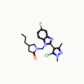 CCCC1CC(=O)N(Cn2c(-c3c(C)nn(C)c3Cl)nc3cc(F)ccc32)C1